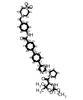 COC(=O)N[C@H](C(=O)N1CCC[C@H]1c1ncc(-c2ccc(-c3ccc(C(=O)Nc4ccc(CN5CCS(=O)(=O)CC5)cc4)cc3)cc2)[nH]1)C(C)(C)C